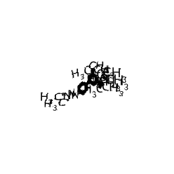 CCN(CC)/N=N/c1ccc(-c2cc(C(C)(C)C)c(O[Si](C)(C)C)c(C(C)(C)C)c2)cc1